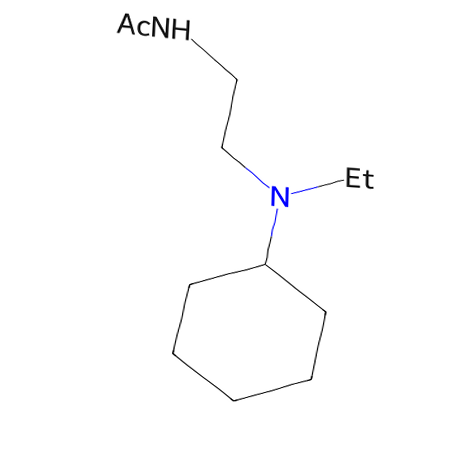 CCN(CCNC(C)=O)C1CCCCC1